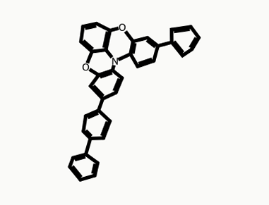 c1ccc(-c2ccc(-c3ccc4c(c3)Oc3cccc5c3N4c3ccc(-c4ccccc4)cc3O5)cc2)cc1